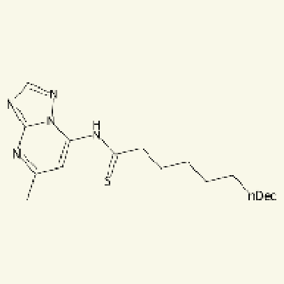 CCCCCCCCCCCCCCCC(=S)Nc1cc(C)nc2ncnn12